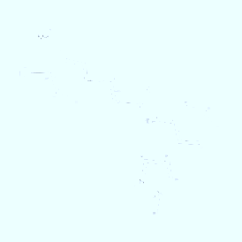 COc1cc(/C=C/C(=O)Nc2ccccc2-c2cnn(C)c2)ccc1O